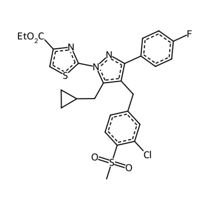 CCOC(=O)c1csc(-n2nc(-c3ccc(F)cc3)c(Cc3ccc(S(C)(=O)=O)c(Cl)c3)c2CC2CC2)n1